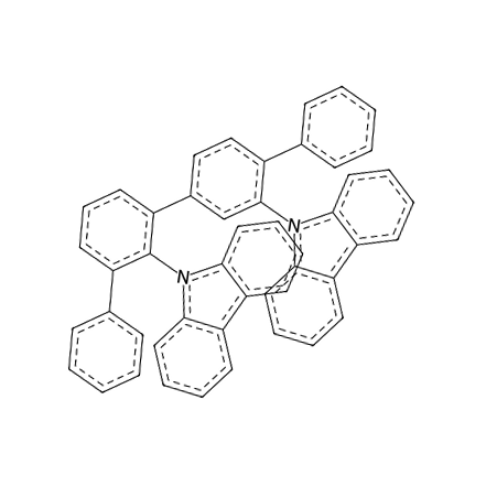 c1ccc(-c2ccc(-c3cccc(-c4ccccc4)c3-n3c4ccccc4c4ccccc43)cc2-n2c3ccccc3c3ccccc32)cc1